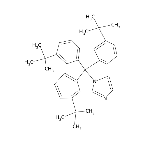 CC(C)(C)c1cccc(C(c2cccc(C(C)(C)C)c2)(c2cccc(C(C)(C)C)c2)n2ccnc2)c1